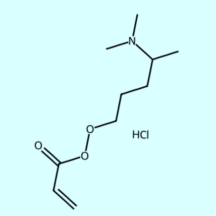 C=CC(=O)OOCCCC(C)N(C)C.Cl